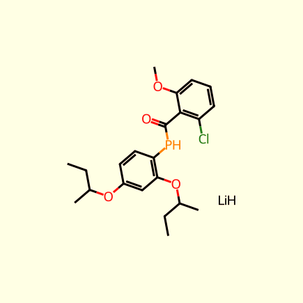 CCC(C)Oc1ccc(PC(=O)c2c(Cl)cccc2OC)c(OC(C)CC)c1.[LiH]